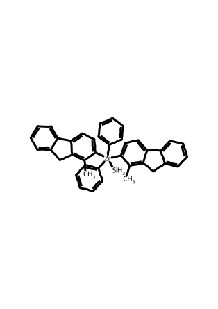 Cc1[c]([Zr]([SiH3])([c]2ccccc2)([c]2ccccc2)[c]2ccc3c(c2C)Cc2ccccc2-3)ccc2c1Cc1ccccc1-2